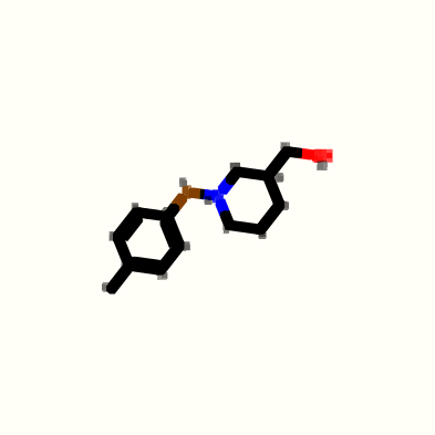 Cc1ccc(SN2CCCC(CO)C2)cc1